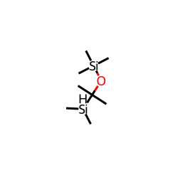 C[SiH](C)C(C)(C)O[Si](C)(C)C